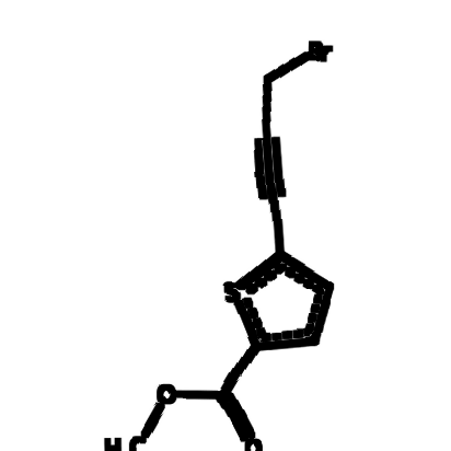 COC(=O)c1ccc(C#CCBr)s1